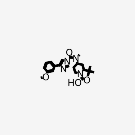 COc1cccc(-c2cn(C(=O)N(C)C3CCN(C(=O)O)C(C(C)(C)C)C3)cn2)c1